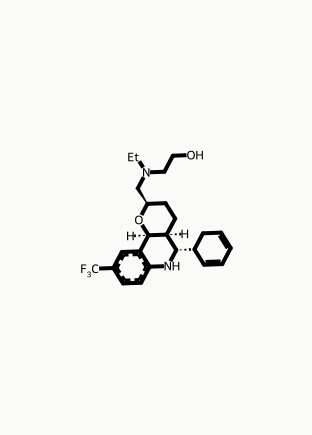 CCN(CCO)C[C@H]1CC[C@@H]2[C@H](O1)c1cc(C(F)(F)F)ccc1N[C@H]2C1C=CC=CC1